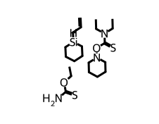 C=CC[SiH]1CCCCC1.CCN(CC)C(=S)ON1CCCCC1.CCOC(N)=S